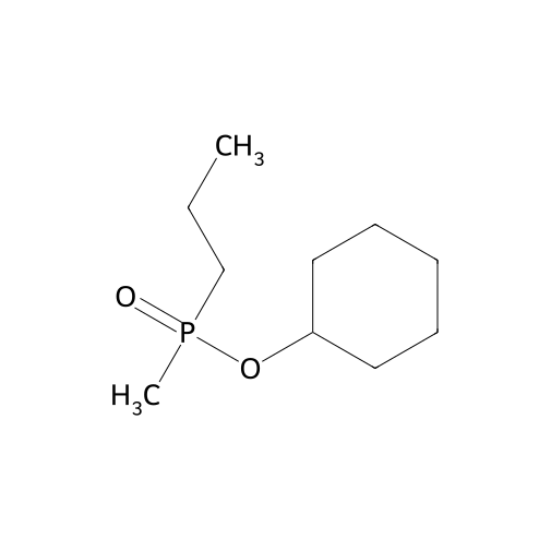 CCCP(C)(=O)OC1CCCCC1